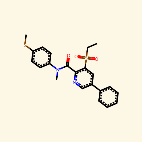 CCS(=O)(=O)c1cc(-c2ccccc2)cnc1C(=O)N(C)c1ccc(SC)cc1